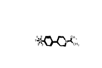 CC(C)N1CCC(c2ccc(S(F)(F)(F)(F)F)cc2)CC1